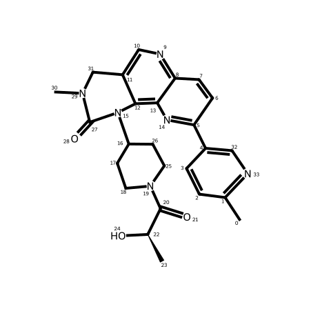 Cc1ccc(-c2ccc3ncc4c(c3n2)N(C2CCN(C(=O)[C@@H](C)O)CC2)C(=O)N(C)C4)cn1